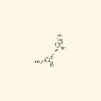 CCCc1c(OCCCOc2ccc(C(=O)O)cc2OCC)ccc2c(CC(C)(C)C)noc12